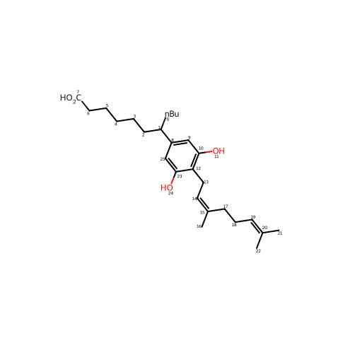 CCCCC(CCCCCC(=O)O)c1cc(O)c(CC=C(C)CCC=C(C)C)c(O)c1